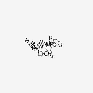 Cc1cccc(Nc2nc(N[C@H]3CCCC[C@H]3NC(=O)/C=C\c3[c]cccc3)ncc2C(N)=O)c1